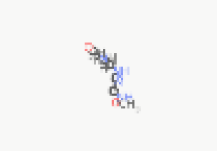 [2H]C([2H])(C1CCOCC1)N1C[C@H]2CC(Nc3ccc(-c4cccc(NC(C)=O)c4)nn3)C[C@H]2C1